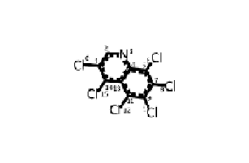 Clc1cnc2c(Cl)c(Cl)c(Cl)c(Cl)c2c1Cl